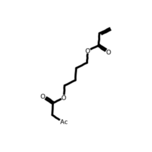 C=CC(=O)OCCCCOC(=O)CC(C)=O